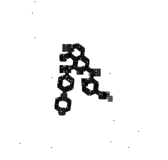 Cc1ccnc(Nc2cc3cc[nH]c(=O)c3c(Nc3ccc(N4CCOCC4)cc3)n2)c1